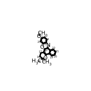 COc1ccc(N=C2C(=O)C3=C(OC(C)(C)CC3)c3ccccc32)cc1